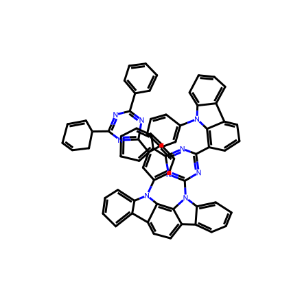 C1=CCC(c2nc(-c3ccccc3)nc(-c3cccc(-n4c5ccccc5c5ccc6c7ccccc7n(-c7nc(-c8ccccc8)nc(-c8cccc9c%10ccccc%10n(-c%10ccccc%10)c89)n7)c6c54)c3)n2)C=C1